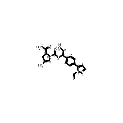 CCn1nccc1-c1ccc(C(CO)OC(=O)N2CC(O)CC2C(N)=O)cc1